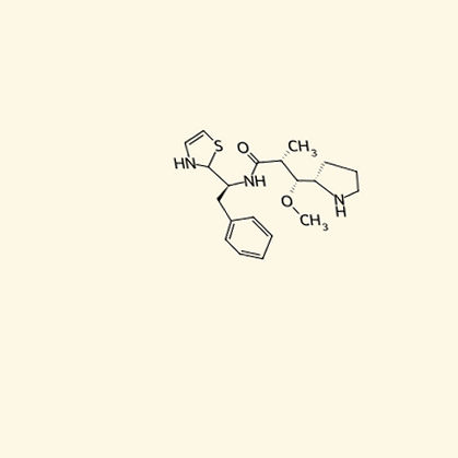 CO[C@@H]([C@@H]1CCCN1)[C@@H](C)C(=O)N[C@@H](Cc1ccccc1)C1NC=CS1